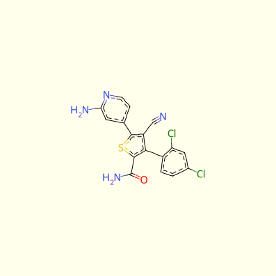 N#Cc1c(-c2ccnc(N)c2)sc(C(N)=O)c1-c1ccc(Cl)cc1Cl